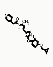 C[C@@H](/C=C/c1cnc(Oc2ccc(OCC3CC3)cc2Cl)s1)NC(=O)Cc1ccncc1